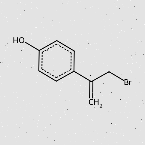 C=C(CBr)c1ccc(O)cc1